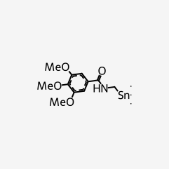 COc1cc(C(=O)N[CH2][Sn])cc(OC)c1OC